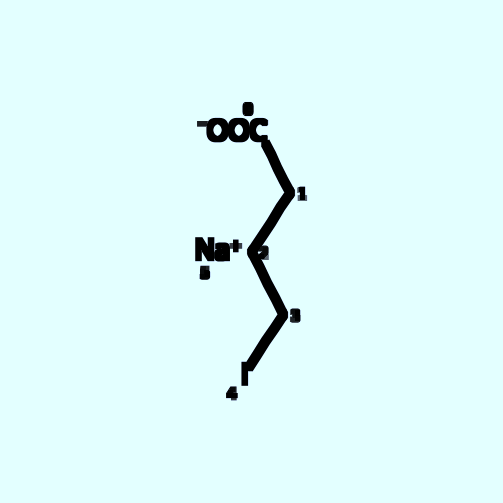 O=C([O-])CCCI.[Na+]